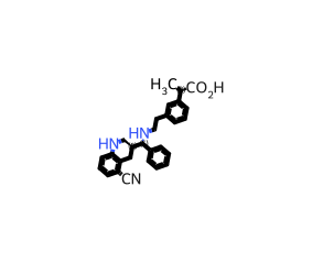 C[C@@H](C(=O)O)c1cccc(CCN[C@H](c2ccccc2)[C@@H]2CNc3cccc(C#N)c3C2)c1